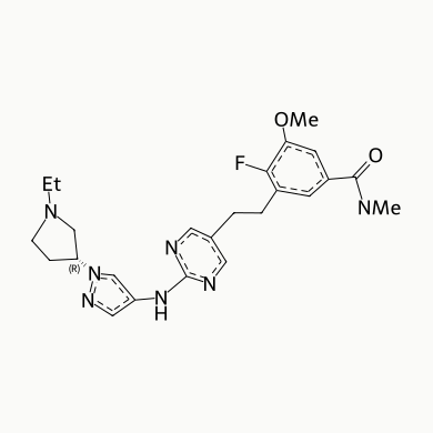 CCN1CC[C@@H](n2cc(Nc3ncc(CCc4cc(C(=O)NC)cc(OC)c4F)cn3)cn2)C1